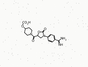 N=C(N)c1ccc(N2CC(C(=O)N3CCC(OC(=O)O)CC3)OC2=O)cc1